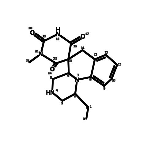 C[C]C1CNCC2N1c1ccccc1CC21C(=O)NC(=O)N(C)C1=O